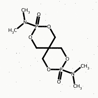 CN(C)P1(=O)OCC2(CO1)COP(=O)(N(C)C)OC2